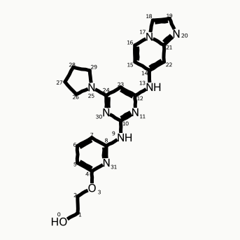 OCCOc1cccc(Nc2nc(Nc3ccn4ccnc4c3)cc(N3CCCC3)n2)n1